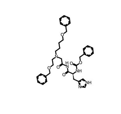 O=C(CN(CCCCOCc1ccccc1)CCOCc1ccccc1)NC(=O)[C@H](Cc1c[nH]cn1)NC(=O)OCc1ccccc1